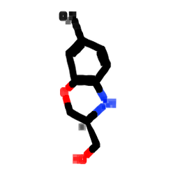 O=[N+]([O-])c1ccc2c(c1)OC[C@H](CO)N2